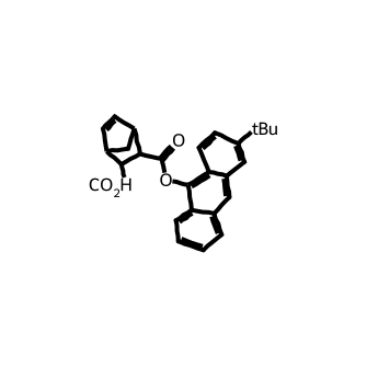 CC(C)(C)c1ccc2c(OC(=O)C3C4C=CC(C4)C3C(=O)O)c3ccccc3cc2c1